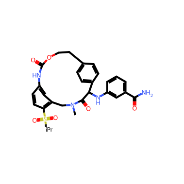 CC(C)S(=O)(=O)c1ccc2cc1CN(C)C(=O)C(Nc1cccc(C(N)=O)c1)c1ccc(cc1)CCOC(=O)N2